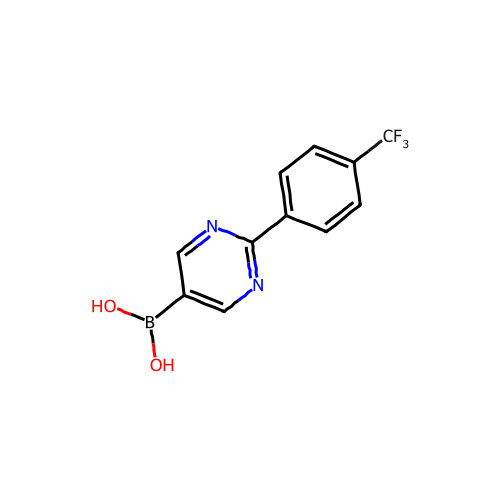 OB(O)c1cnc(-c2ccc(C(F)(F)F)cc2)nc1